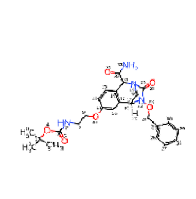 CC(C)(C)OC(=O)NCCOc1ccc2c(c1)[C@H]1CN(C(=O)N1OCc1ccccc1)C2C(N)=O